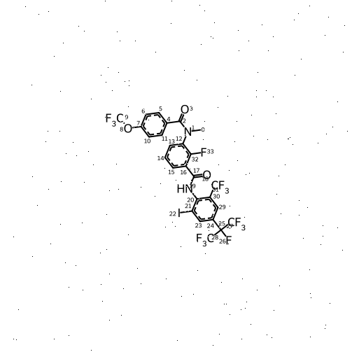 CN(C(=O)c1ccc(OC(F)(F)F)cc1)c1cccc(C(=O)Nc2c(I)cc(C(F)(C(F)(F)F)C(F)(F)F)cc2C(F)(F)F)c1F